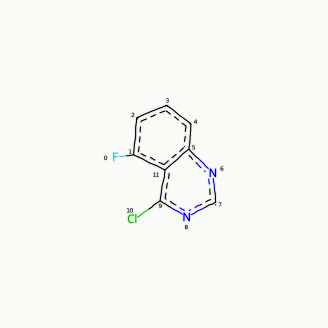 Fc1cccc2n[c]nc(Cl)c12